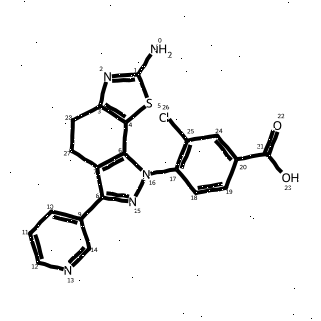 Nc1nc2c(s1)-c1c(c(-c3cccnc3)nn1-c1ccc(C(=O)O)cc1Cl)CC2